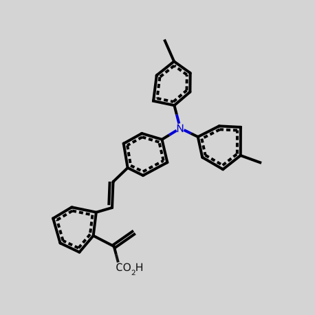 C=C(C(=O)O)c1ccccc1C=Cc1ccc(N(c2ccc(C)cc2)c2ccc(C)cc2)cc1